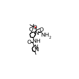 Cc1ccc(C(=O)Nc2ccc3c(c2)C2(COC(N)=N2)C2(COC2)C(C)(C)O3)nn1